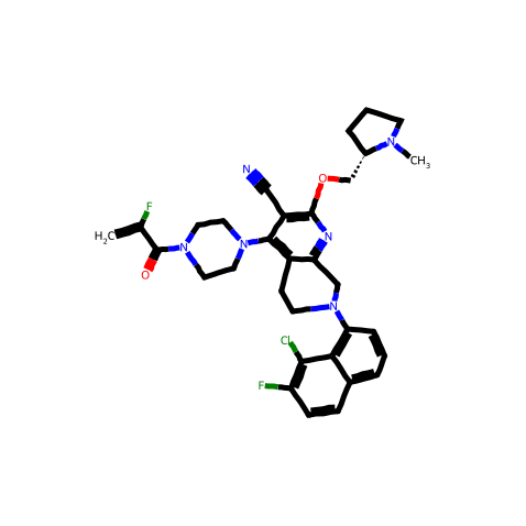 C=C(F)C(=O)N1CCN(c2c(C#N)c(OC[C@@H]3CCCN3C)nc3c2CCN(c2cccc4ccc(F)c(Cl)c24)C3)CC1